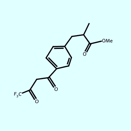 COC(=O)C(C)Cc1ccc(C(=O)CC(=O)C(F)(F)F)cc1